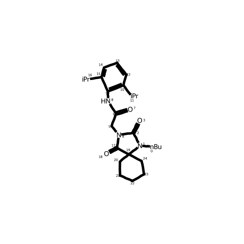 CCCCN1C(=O)N(CC(=O)Nc2c(C(C)C)cccc2C(C)C)C(=O)C12CCCCC2